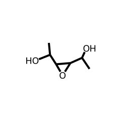 CC(O)C1OC1C(C)O